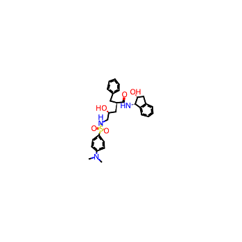 CN(C)c1ccc(S(=O)(=O)NC[C@@H](O)C[C@@H](Cc2ccccc2)C(=O)N[C@H]2c3ccccc3C[C@H]2O)cc1